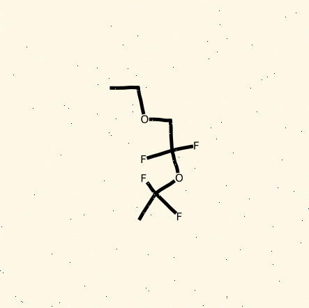 CCOCC(F)(F)OC(C)(F)F